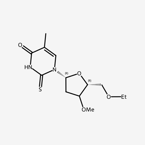 CCOC[C@H]1O[C@@H](n2cc(C)c(=O)[nH]c2=S)CC1OC